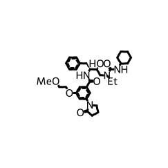 CCN(C[C@H](O)[C@H](Cc1ccccc1)NC(=O)c1cc(OCCOC)cc(N2CCCC2=O)c1)C(=O)NC1CCCCC1